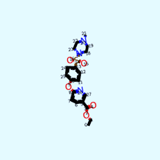 CCOC(=O)c1ccc(Oc2ccc(S(=O)(=O)N3CCN(C)CC3)cc2)nc1